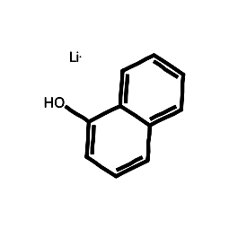 Oc1cccc2ccccc12.[Li]